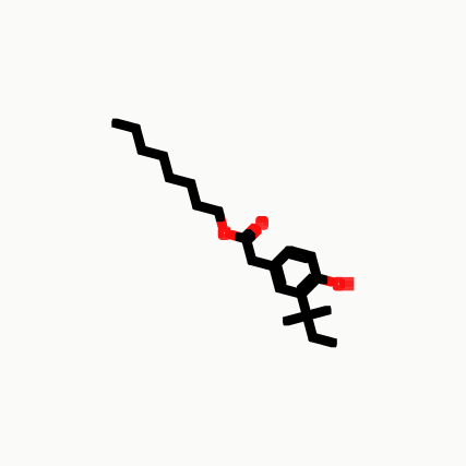 CCCCCCCCOC(=O)Cc1ccc(O)c(C(C)(C)CC)c1